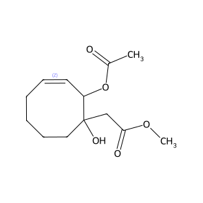 COC(=O)CC1(O)CCCC/C=C\C1OC(C)=O